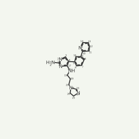 Nc1ncc(-c2cccc(-c3ccccn3)c2)c(NCCCN2C=NCC2)n1